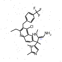 CCc1nc2ccc(C(C)(/C(=C/N)NC)c3cnc(C)n3C)cc2c(Cl)c1Cc1ccc(C(F)(F)F)cc1